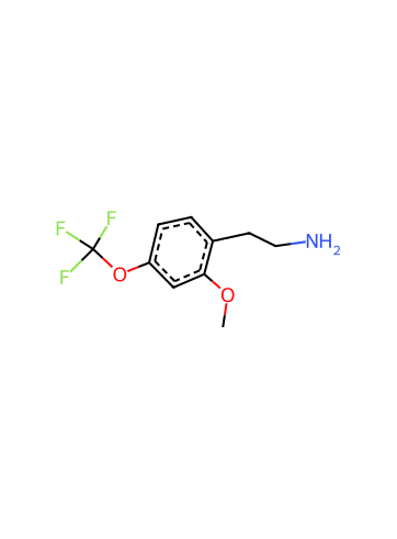 COc1cc(OC(F)(F)F)ccc1CCN